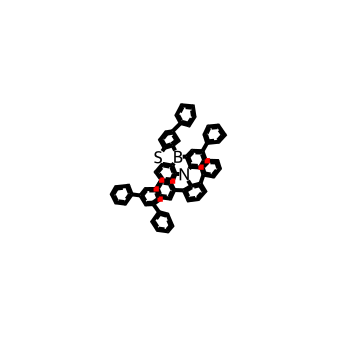 c1ccc(-c2cc(-c3ccccc3)cc(-c3cc4c5c(c3)N(c3c(-c6ccccc6)cccc3-c3ccccc3)c3ccc(-c6ccccc6)cc3B5c3cc(-c5ccccc5)ccc3S4)c2)cc1